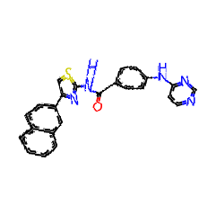 O=C(Nc1nc(-c2ccc3ccccc3c2)cs1)c1ccc(Nc2ccncn2)cc1